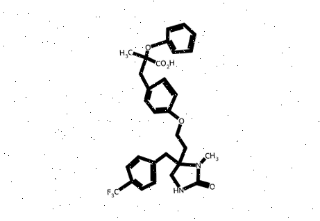 CN1C(=O)NCC1(CCOc1ccc(CC(C)(Oc2ccccc2)C(=O)O)cc1)Cc1ccc(C(F)(F)F)cc1